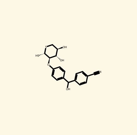 N#Cc1ccc(C(O)c2ccc(O[C@@H]3[C@@H](O)[C@H](O)CS[C@H]3S)cc2)cc1